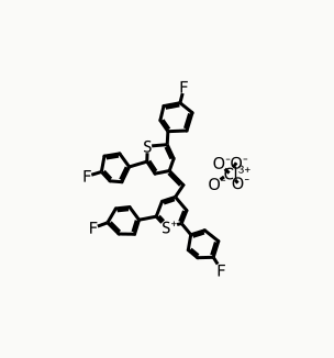 Fc1ccc(C2=CC(=Cc3cc(-c4ccc(F)cc4)[s+]c(-c4ccc(F)cc4)c3)C=C(c3ccc(F)cc3)S2)cc1.[O-][Cl+3]([O-])([O-])[O-]